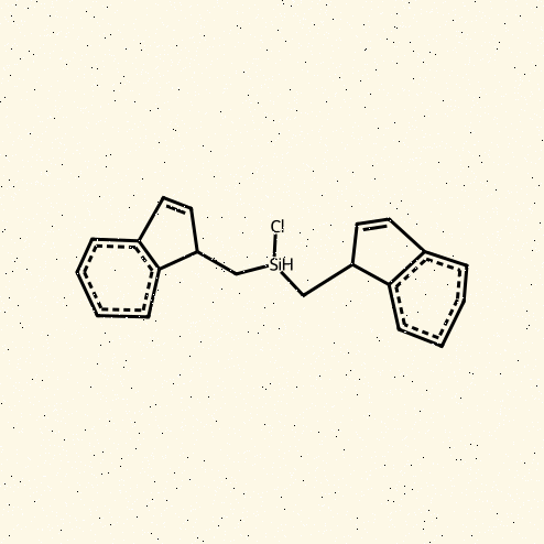 Cl[SiH](CC1C=Cc2ccccc21)CC1C=Cc2ccccc21